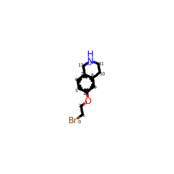 BrCCOc1ccc2c(c1)CCNC2